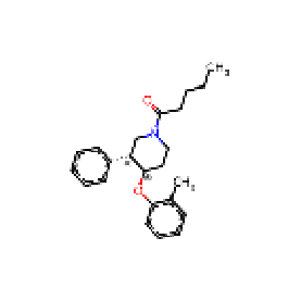 CCCCC(=O)N1CC[C@@H](Oc2ccccc2C)[C@H](c2ccccc2)C1